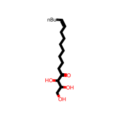 CCCC/C=C\CCCCCCCC(=O)C(O)C(O)CO